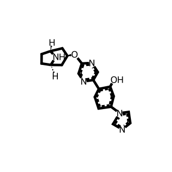 Oc1cc(-n2ccnc2)ccc1-c1cnc(O[C@H]2C[C@H]3CC[C@@H](C2)N3)cn1